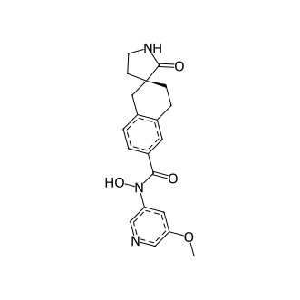 COc1cncc(N(O)C(=O)c2ccc3c(c2)CC[C@]2(CCNC2=O)C3)c1